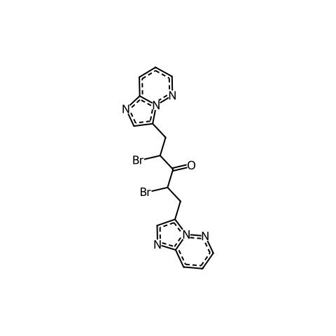 O=C(C(Br)Cc1cnc2cccnn12)C(Br)Cc1cnc2cccnn12